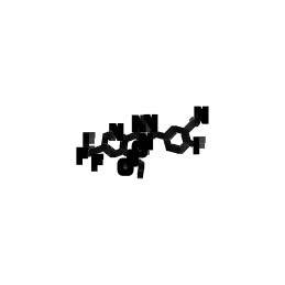 CCS(=O)(=O)c1cc(C(F)(F)F)cnc1-c1nnc(-c2ccc(F)c(C#N)c2)n1C